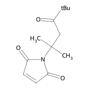 CC(C)(C)C(=O)CC(C)(C)N1C(=O)C=CC1=O